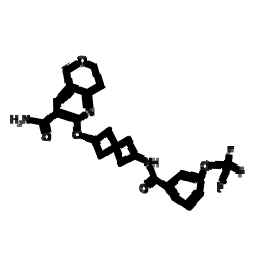 NC(=O)c1cc2c(nc1OC1CC3(CC(NC(=O)c4cccc(OC(F)(F)F)c4)C3)C1)CCOC2